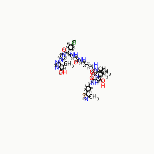 Cc1ncsc1-c1ccc(CNC(=O)[C@@H]2C[C@@H](O)CN2C(=O)[C@@H](NC(=O)CCCCCCNC(=O)CCNC[C@@H](C(=O)N2CCN(c3ncnc4c3[C@H](C)C[C@H]4O)CC2)c2ccc(Cl)cc2)C(C)(C)C)cc1